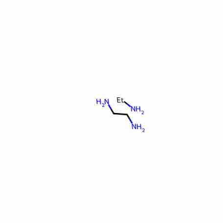 NCCN.[CH2]CN